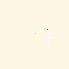 CCOc1cc([C@@H](O)[C@H](Cn2cc3cccc(C(=O)O)c3n2)OC2CCCC2)ccc1C